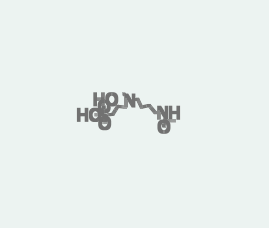 CC(=O)NCCCCN(C)CC(O)CS(=O)(=O)O